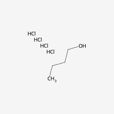 CCCCO.Cl.Cl.Cl.Cl